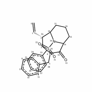 C=C[C@H]1CN(Cc2ccccn2)C(=O)C2CCCC1N2S(=O)(=O)c1ccccc1